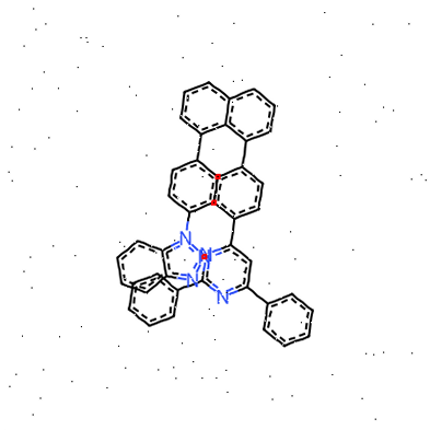 c1ccc(-c2cc(-c3ccc(-c4cccc5cccc(-c6ccc(-n7nnc8ccccc87)cc6)c45)cc3)nc(-c3ccccc3)n2)cc1